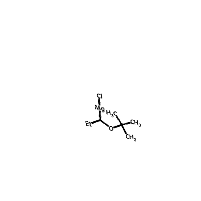 CC[CH](OC(C)(C)C)[Mg][Cl]